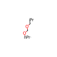 CC[CH]OCOCC(C)C